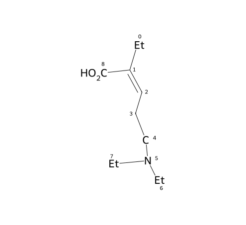 CCC(=CCCN(CC)CC)C(=O)O